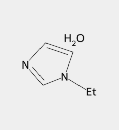 CCn1ccnc1.O